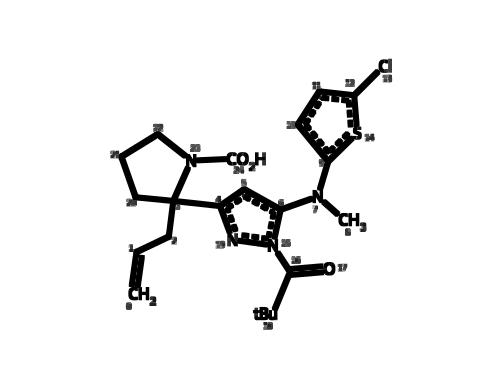 C=CCC1(c2cc(N(C)c3ccc(Cl)s3)n(C(=O)C(C)(C)C)n2)CCCN1C(=O)O